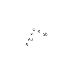 [As].[Bi].[O].[P].[S].[Sb]